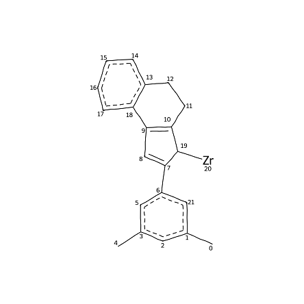 Cc1cc(C)cc(C2=CC3=C(CCc4ccccc43)[CH]2[Zr])c1